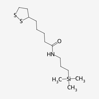 C[Si](C)(C)CCCNC(=O)CCCCC1CCSS1